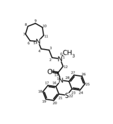 CN(CCCN1CCCCCC1)CC(=O)N1c2ccccc2Sc2ccccc21